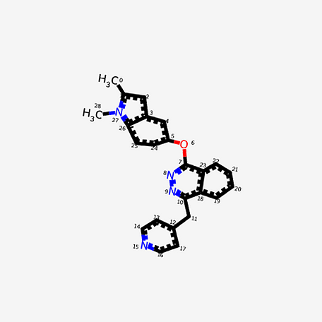 Cc1cc2cc(Oc3nnc(Cc4ccncc4)c4ccccc34)ccc2n1C